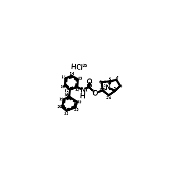 CN1C2CCC1CC(OC(=O)Nc1ccccc1-c1ccccc1)C2.Cl